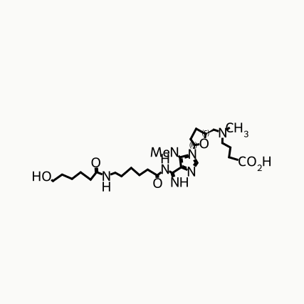 CNc1c(C(=N)NC(=O)CCCCCNC(=O)CCCCCO)ncn1[C@H]1CC[C@@H](CN(C)CCCC(=O)O)O1